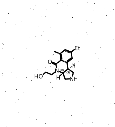 CCc1cc(C)c2c(c1)[C@H]1CNC[C@@H]1N(CCO)C2=O